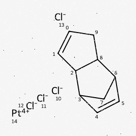 C1=CC2C3C=CC(C3)C2C1.[Cl-].[Cl-].[Cl-].[Cl-].[Pt+4]